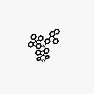 c1ccc(-c2c(-c3ccc(N(c4ccc5c(c4)C(c4ccccc4)(c4ccccc4)c4ccccc4-5)c4cccc5c4-c4ccccc4C54c5ccccc5Oc5ccccc54)cc3)ccc3ccccc23)cc1